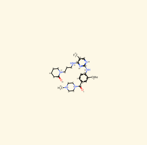 COc1cc(C(=O)N2CCN(C)CC2)ccc1Nc1ncc(C(F)(F)F)c(NCCCN2CCCCC2=O)n1